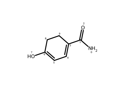 NC(=O)C1=CC=C(O)CC1